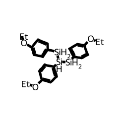 CCOc1ccc([SiH2][SiH]([SiH2]c2ccc(OCC)cc2)c2ccc(OCC)cc2)cc1